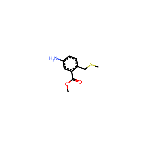 COC(=O)c1cc(N)ccc1CSC